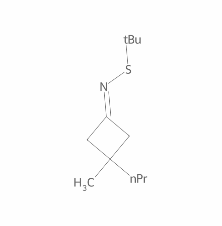 CCCC1(C)CC(=NSC(C)(C)C)C1